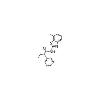 CCC(C(=O)Nc1nc2cccc(C)c2s1)c1ccccc1